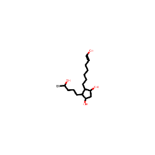 CCC(O)CCCC1C(O)CC(O)C1CCCCCC=CO